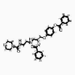 O=C(Oc1ccc(OC[C@H](CNCCNC(=O)N2CCOCC2)OC(=O)c2ccccc2)cc1)c1ccccc1